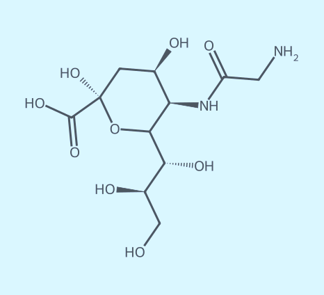 NCC(=O)N[C@H]1C([C@H](O)[C@H](O)CO)O[C@@](O)(C(=O)O)C[C@H]1O